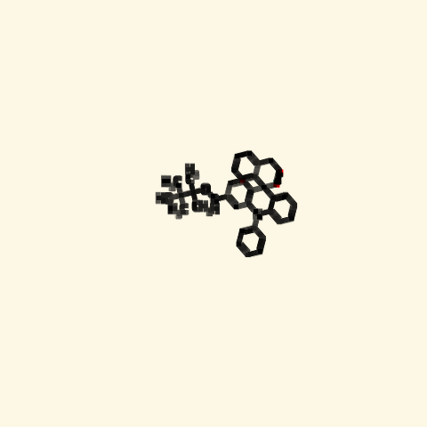 CC(C)(O)C(C)(C)OBc1ccc2c(c1)N(c1ccccc1)c1ccccc1C21c2ccccc2Cc2ccccc21